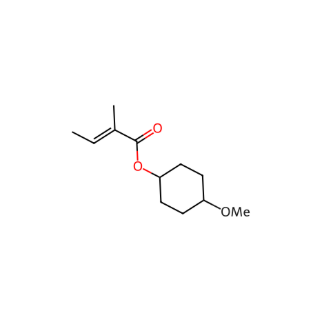 CC=C(C)C(=O)OC1CCC(OC)CC1